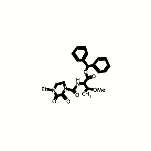 CCN1CCN(C(=O)NC(C(=O)OC(c2ccccc2)c2ccccc2)C(C)OC)C(=O)C1=O